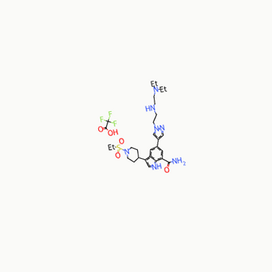 CCN(CC)CCNCCn1cc(-c2cc(C(N)=O)c3[nH]cc(C4CCN(S(=O)(=O)CC)CC4)c3c2)cn1.O=C(O)C(F)(F)F